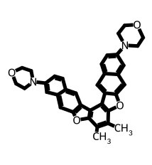 Cc1c(C)c2oc3cc4cc(N5CCOCC5)ccc4cc3c2c2c1oc1cc3cc(N4CCOCC4)ccc3cc12